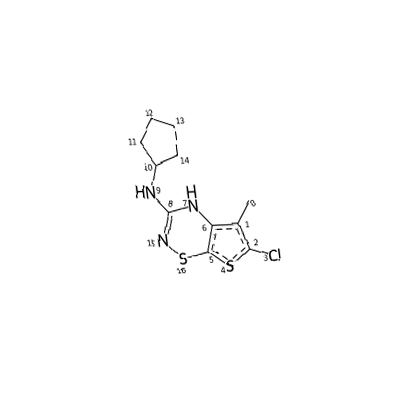 Cc1c(Cl)sc2c1NC(NC1CCCC1)=NS2